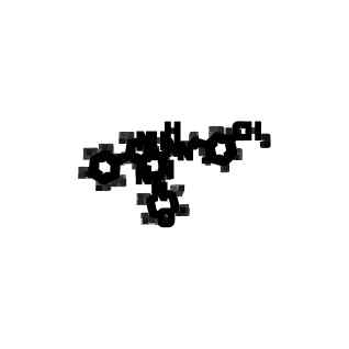 Cc1cccc(C=NNc2nc(N3CCOCC3)nc3c(-c4ccccc4)c[nH]c23)c1